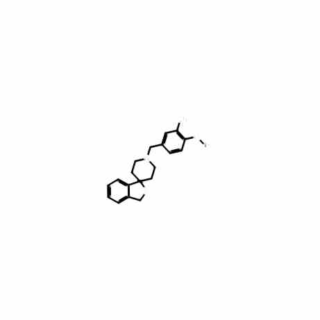 CC(C)Oc1ccc(CN2CCC3(CC2)OCc2ccccc23)cc1C#N